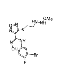 CONNCCSc1nonc1/C(=N/O)Nc1ccc(F)c(Br)c1